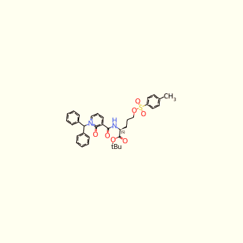 Cc1ccc(S(=O)(=O)OCCC[C@H](NC(=O)c2cccn(C(c3ccccc3)c3ccccc3)c2=O)C(=O)OC(C)(C)C)cc1